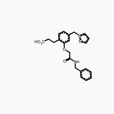 O=C(O)CCc1ccc(Cn2cccn2)cc1OCC(=O)NCc1ccccc1